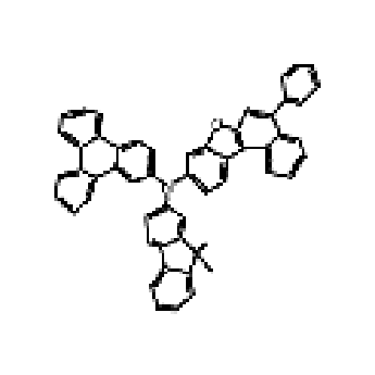 CC1(C)c2ccccc2-c2ccc(N(c3ccc4c(c3)oc3cc(-c5ccccc5)c5ccccc5c34)c3ccc4c5ccccc5c5ccccc5c4c3)cc21